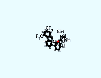 Cl.FC(F)(F)c1cc(CO[C@@H]2CC[C@H]3CC[C@]2(c2ccccc2)N3Cc2nc[nH]n2)cc(C(F)(F)F)c1